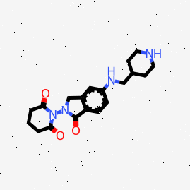 O=C1c2ccc(NCC3CCNCC3)cc2CN1N1C(=O)CCCC1=O